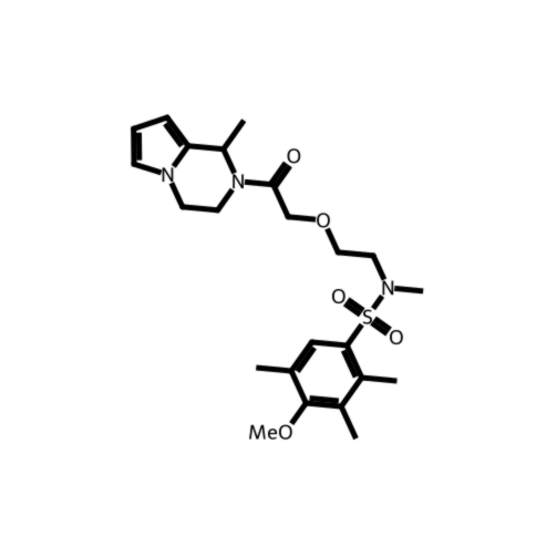 COc1c(C)cc(S(=O)(=O)N(C)CCOCC(=O)N2CCn3cccc3C2C)c(C)c1C